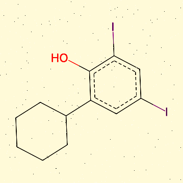 Oc1c(I)cc(I)cc1C1CCCCC1